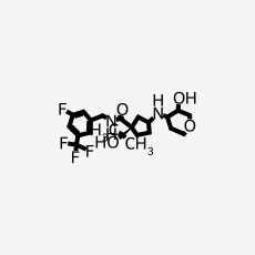 CC(C)(O)[C@]1(C(=O)NCc2cc(F)cc(C(F)(F)F)c2)CCC(NC2CCOCC2O)C1